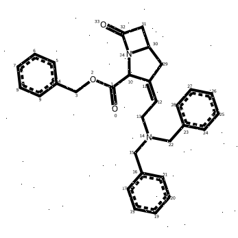 O=C(OCc1ccccc1)C1/C(=C\CN(Cc2ccccc2)Cc2ccccc2)CC2CC(=O)N21